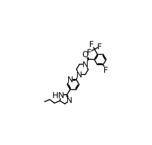 CCCC1CN=C(c2ccc(N3CCN(C(=O)c4cc(F)ccc4C(F)(F)F)CC3)nc2)N1